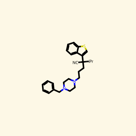 CC(C)C(C#N)(CCCN1CCN(Cc2ccccc2)CC1)c1csc2ccccc12